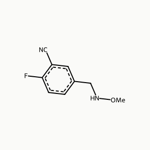 CONCc1ccc(F)c(C#N)c1